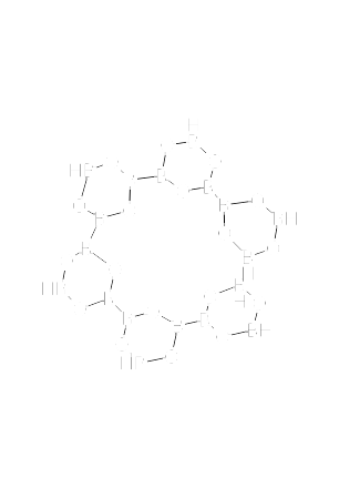 B1OBOB(B2OBOB(B3OBOB(B4OBOB(B5OBOB(B6OBOBO6)O5)O4)O3)O2)O1